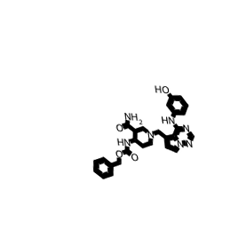 NC(=O)C1CN(Cc2ccn3ncnc(Nc4cccc(O)c4)c23)CCC1NC(=O)OCc1ccccc1